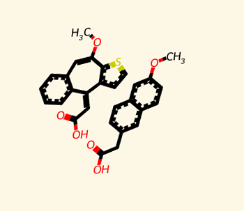 COC1=Cc2ccccc2C(=CC(=O)O)c2ccsc21.COc1ccc2cc(CC(=O)O)ccc2c1